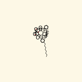 CCCCCCCCc1ccc(-c2oc3ccc(OC)cc3c2C2=C(c3c(-c4ccccc4)oc4ccc(OC)cc34)C(F)(F)C(F)(F)C2(F)F)cc1